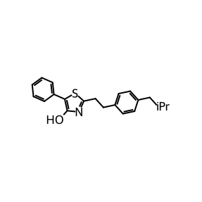 CC(C)Cc1ccc(CCc2nc(O)c(-c3ccccc3)s2)cc1